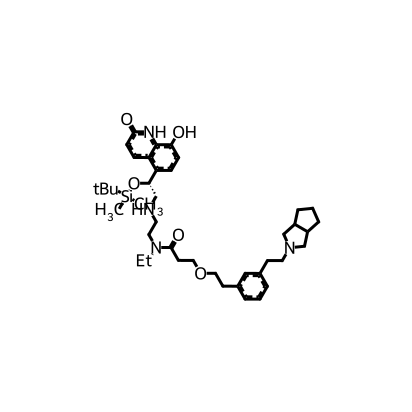 CCN(CCNC[C@H](O[Si](C)(C)C(C)(C)C)c1ccc(O)c2[nH]c(=O)ccc12)C(=O)CCOCCc1cccc(CCN2CC3CCCC3C2)c1